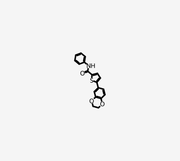 O=C(Nc1ccccc1)c1ccc(-c2ccc3c(c2)OCCO3)s1